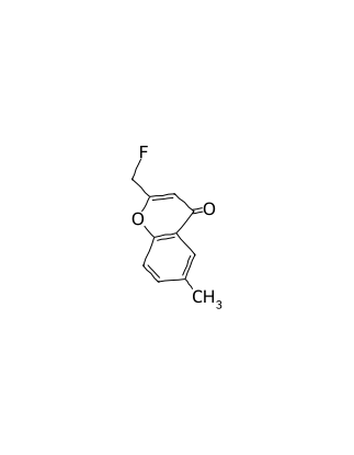 Cc1ccc2oc(CF)cc(=O)c2c1